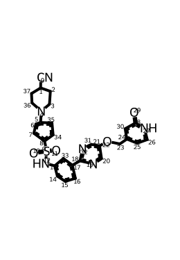 N#CC1CCN(c2ccc(S(=O)(=O)Nc3cccc(-c4ncc(OCc5cc[nH]c(=O)c5)cn4)c3)cc2)CC1